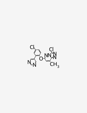 Cc1cc(Oc2ccc(Cl)cc2-c2cncnc2)nn2c(Cl)nnc12